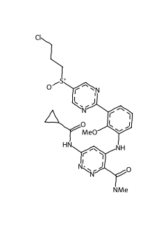 CNC(=O)c1nnc(NC(=O)C2CC2)cc1Nc1cccc(-c2ncc([S+]([O-])CCCCl)cn2)c1OC